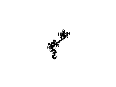 COc1cc(OC)c(C(=O)CCCCN2CCC3(CC2)NC(=O)NC3=O)cc1NS(=O)(=O)c1ccc(-c2ccccn2)s1